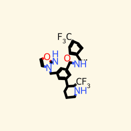 C[C@H](NC(=O)c1cc(Cn2ccoc2=N)cc(C2CCCNC2C(F)(F)F)c1)c1ccc(C(F)(F)F)cc1